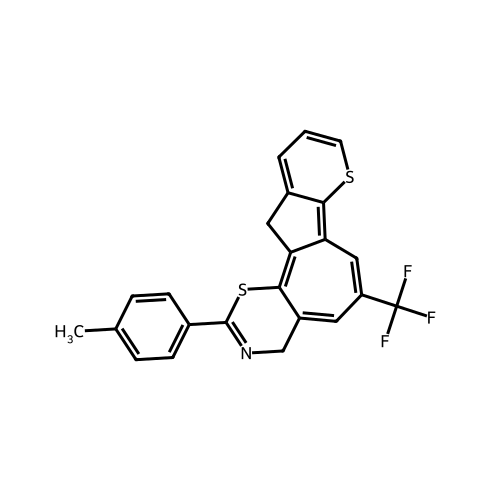 Cc1ccc(C2=NCC3=CC(C(F)(F)F)=CC4=C5SC=CC=C5CC4=C3S2)cc1